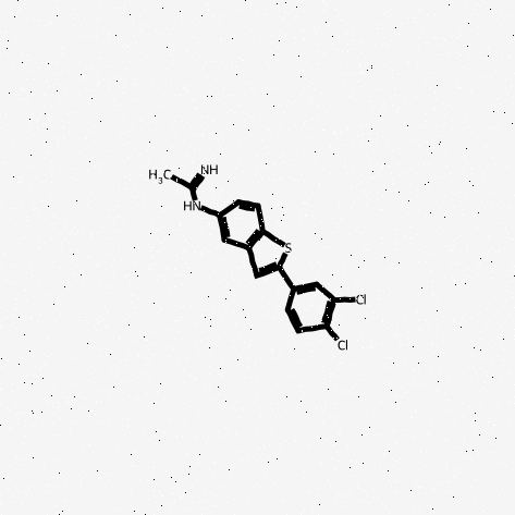 CC(=N)Nc1ccc2sc(-c3ccc(Cl)c(Cl)c3)cc2c1